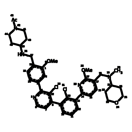 COc1cc(-c2nccc(-c3cccc(-c4ccc(CN(C)C5CCOCC5)c(OC)n4)c3Cl)c2Cl)ccc1CNC1CCN(C(C)=O)CC1